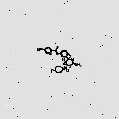 N#Cc1ccc(/C(F)=C/c2ccc3c(c2)[C@@]2(C3)N=C(N)S[C@@]3(C(=O)N4CCC(F)CC4)C[C@H]32)nc1